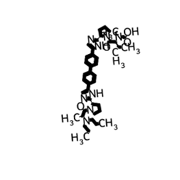 CCCN(CCC)[C@H](C)C(=O)N1CCC[C@H]1c1ncc(-c2ccc(-c3ccc(-c4cnc([C@@H]5CCCN5C(=O)[C@H](C(C)C)N(C)C(=O)O)[nH]4)cc3)cc2)[nH]1